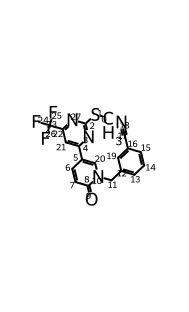 CSc1nc(-c2ccc(=O)n(Cc3cccc(C#N)c3)c2)cc(C(F)(F)F)n1